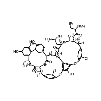 CN[C@H](CC(C)C)C(=O)N[C@H]1C(=O)N[C@@H](CC(N)O)C(=O)N[C@H]2C(=S)N[C@H]3C(=O)N[C@H](C(=O)N[C@H](CO)C4=CC(O)CC(O)=C4C4CC3=CC=C4O)[C@H](O)C3=CC=C(Oc4cc2cc(c4O)OC2=C(Cl)C=C(CC2)[C@H]1O)C(Cl)C3